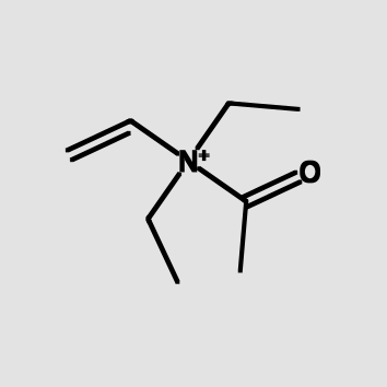 C=C[N+](CC)(CC)C(C)=O